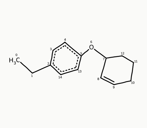 CCc1ccc(OC2C=CCCC2)cc1